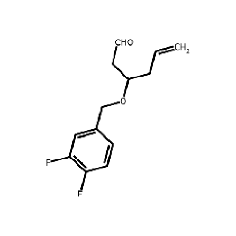 C=CCC(CC=O)OCc1ccc(F)c(F)c1